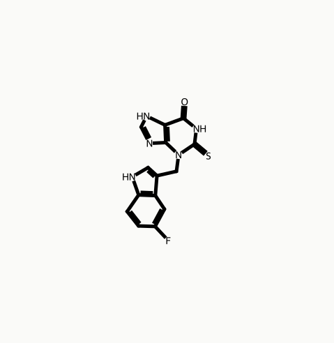 O=c1[nH]c(=S)n(Cc2c[nH]c3ccc(F)cc23)c2nc[nH]c12